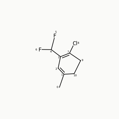 CC1=CC(C(F)F)=C(Cl)CC1